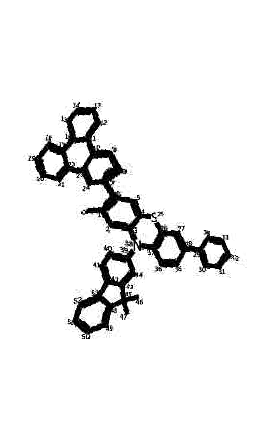 Cc1cc2c(cc1-c1ccc3c4ccccc4c4ccccc4c3c1)Sc1cc(-c3ccccc3)ccc1N2c1ccc2c(c1)C(C)(C)c1ccccc1-2